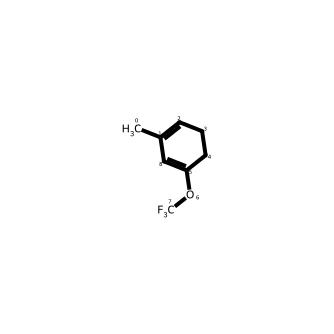 CC1=CCCC(OC(F)(F)F)=C1